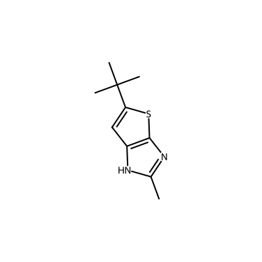 Cc1nc2sc(C(C)(C)C)cc2[nH]1